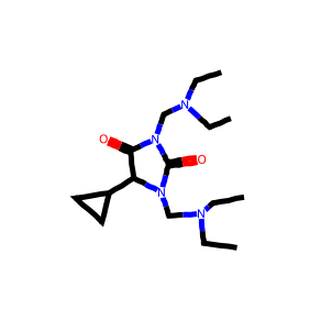 CCN(CC)CN1C(=O)C(C2CC2)N(CN(CC)CC)C1=O